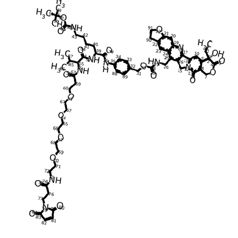 CC[C@@]1(O)C(=O)OCc2c1cc1n(c2=O)Cc2c-1nc1cc3c(cc1c2CNC(=O)OCc1ccc(NC(=O)C(CCCCNC(=O)OC(C)(C)C)NC(=O)C(NC(=O)CCOCCOCCOCCOCCNC(=O)CCN2C(=O)C=CC2=O)C(C)C)cc1)CCO3